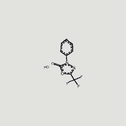 Cl.O=c1oc(C(F)(F)F)nn1-c1ccccc1